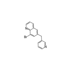 Brc1cc(Cc2cccnc2)cc2cccnc12